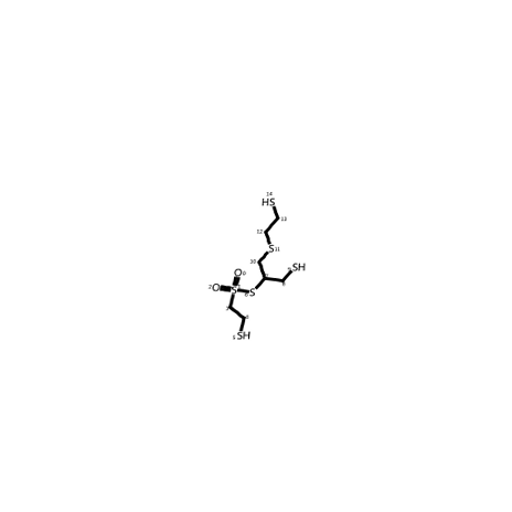 O=S(=O)(CCS)SC(CS)CSCCS